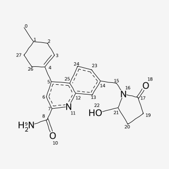 CC1CC=C(c2cc(C(N)=O)nc3cc(CN4C(=O)CCC4O)ccc23)CC1